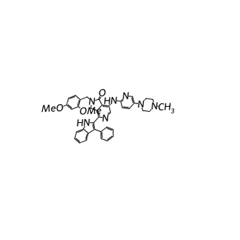 COc1ccc(CN2Cc3c(-c4[nH]c5ccccc5c4-c4ccccc4)ncc(Nc4ccc(N5CCN(C)CC5)cn4)c3C2=O)c(OC)c1